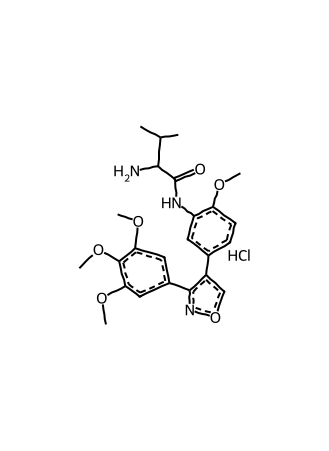 COc1ccc(-c2conc2-c2cc(OC)c(OC)c(OC)c2)cc1NC(=O)C(N)C(C)C.Cl